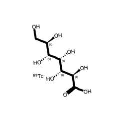 O=C(O)[C@H](O)[C@H](O)[C@@H](O)[C@H](O)[C@H](O)CO.[99Tc]